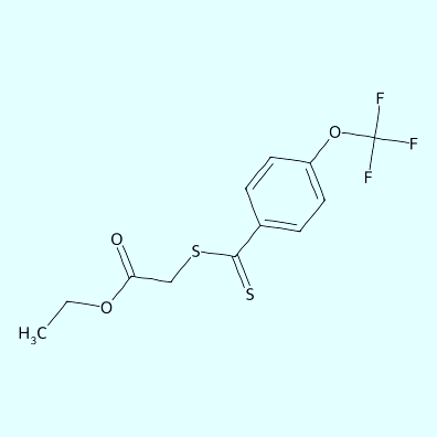 CCOC(=O)CSC(=S)c1ccc(OC(F)(F)F)cc1